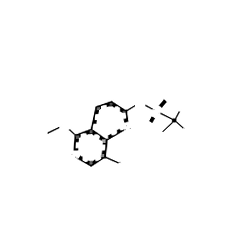 COc1ncc(Br)c2nc(OS(=O)(=O)C(F)(F)F)ccc12